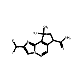 CC1(C)CC(C(N)=O)c2cnn3cc(C(F)F)nc3c21